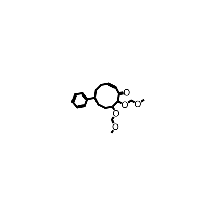 COCOC1CCC(c2ccccc2)CCC=CC(=O)C1OCOC